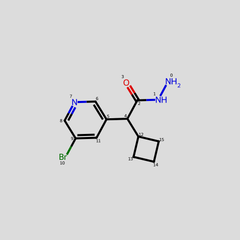 NNC(=O)C(c1cncc(Br)c1)C1CCC1